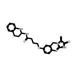 C=c1c(=O)[nH]c2n1Cc1cc(OCCCC(=O)NC3CCc4ccccc4N3)ccc1N=2